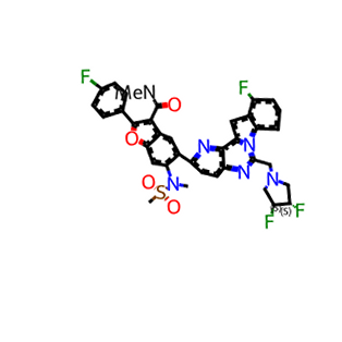 CNC(=O)c1c(-c2ccc(F)cc2)oc2cc(N(C)S(C)(=O)=O)c(-c3ccc4nc(CN5C[C@H](F)[C@@H](F)C5)n5c6cccc(F)c6cc5c4n3)cc12